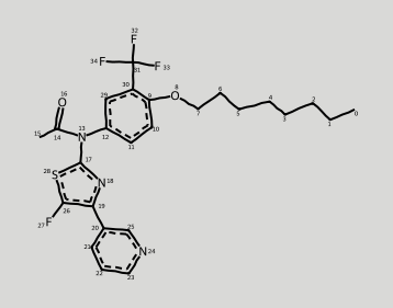 CCCCCCCCOc1ccc(N(C(C)=O)c2nc(-c3cccnc3)c(F)s2)cc1C(F)(F)F